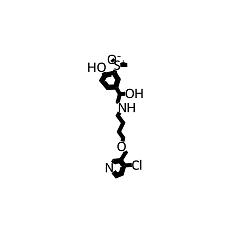 C[S+]([O-])c1cc(C(O)CNCCCCOCc2cnccc2Cl)ccc1O